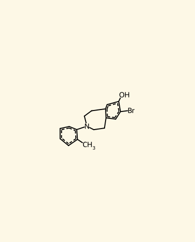 Cc1ccccc1N1CCc2cc(O)c(Br)cc2CC1